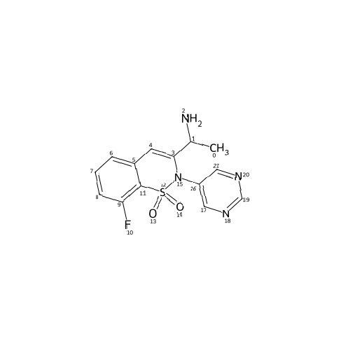 CC(N)C1=Cc2cccc(F)c2S(=O)(=O)N1c1cncnc1